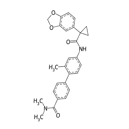 Cc1cc(NC(=O)C2(c3ccc4c(c3)OCO4)CC2)ccc1-c1ccc(C(=O)N(C)C)cc1